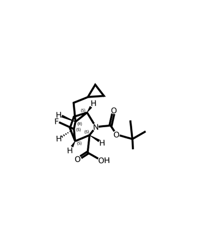 CC(C)(C)OC(=O)N1[C@H](C(=O)O)[C@@H]2CC[C@H]1[C@@H](CC1CC1)[C@@H]2F